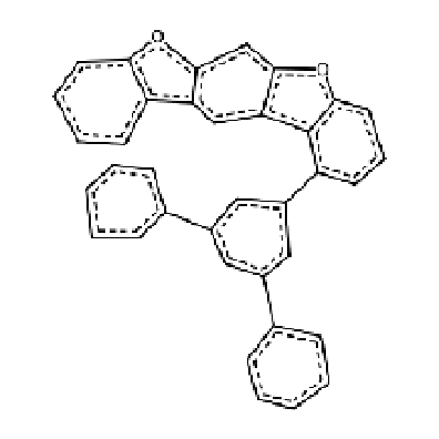 c1ccc(-c2cc(-c3ccccc3)cc(-c3cccc4oc5cc6oc7ccccc7c6cc5c34)c2)cc1